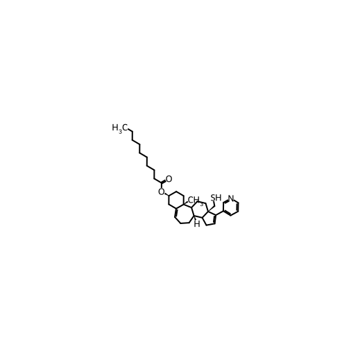 CCCCCCCCCC(=O)O[C@H]1CC[C@@]2(C)C(=CCC[C@H]3C4CC=C(c5cccnc5)[C@@]4(CS)CCC32)C1